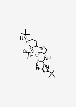 CC(=O)N[C@@H]1C[C@H](NC(C)(C)C)CCC1[C@H]1CCC(Nc2ncnc3cc(C(C)(C)C)nn23)C1=O